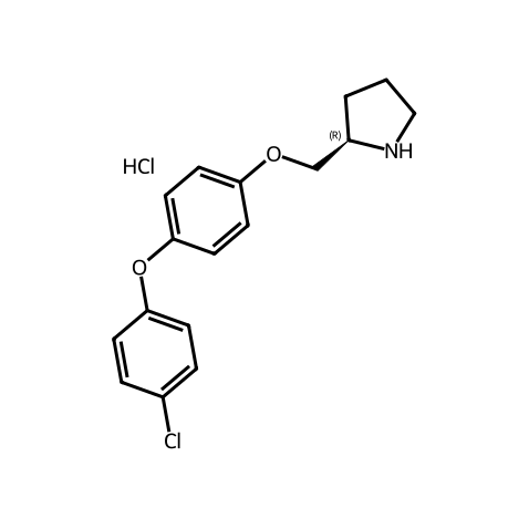 Cl.Clc1ccc(Oc2ccc(OC[C@H]3CCCN3)cc2)cc1